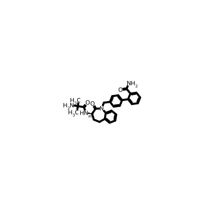 CC(C)(N)C(=O)N[C@@H]1CCc2ccccc2N(Cc2ccc(-c3ccccc3C(N)=O)cc2)C1=O